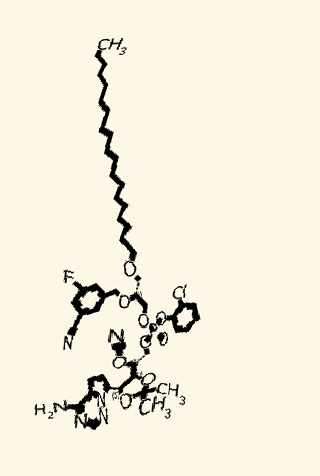 CCCCCCCCCCCCCCCCCCCOC[C@H](COP(=O)(OC[C@@H](OC#N)[C@H]1OC(C)(C)O[C@H]1c1ccc2c(N)ncnn12)Oc1ccccc1Cl)OCc1cc(F)cc(C#N)c1